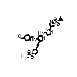 CS(=O)(=O)N1CCC(C#Cc2cnc(Nc3ccnc(-c4cnn(S(=O)(=O)C5CC5)c4)n3)cc2NCC2CCC(CO)CC2)C1